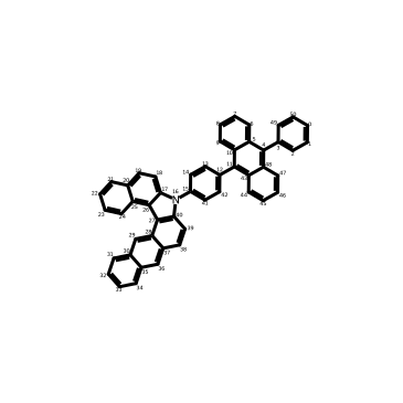 c1ccc(-c2c3ccccc3c(-c3ccc(-n4c5ccc6ccccc6c5c5c6cc7ccccc7cc6ccc54)cc3)c3ccccc23)cc1